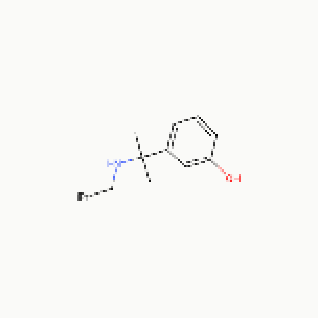 CC(C)CNC(C)(C)c1cccc(O)c1